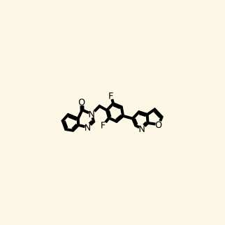 O=c1c2ccccc2ncn1Cc1c(F)cc(-c2cnc3occc3c2)cc1F